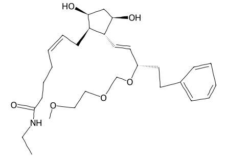 CCNC(=O)CCC/C=C\C[C@@H]1[C@@H](/C=C/[C@H](CCc2ccccc2)OCOCCOC)[C@H](O)C[C@@H]1O